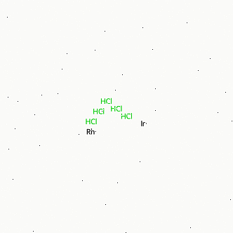 Cl.Cl.Cl.Cl.Cl.[Ir].[Rh]